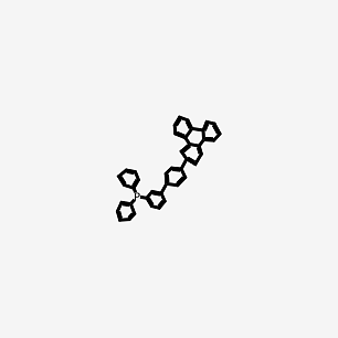 c1ccc(P(c2ccccc2)c2cccc(-c3ccc(-c4ccc5c6ccccc6c6ccccc6c5c4)cc3)c2)cc1